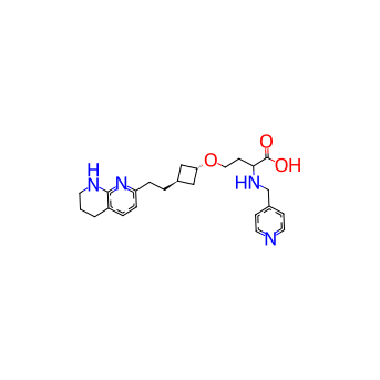 O=C(O)C(CCO[C@H]1C[C@H](CCc2ccc3c(n2)NCCC3)C1)NCc1ccncc1